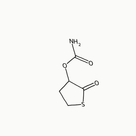 NC(=O)OC1CCSC1=O